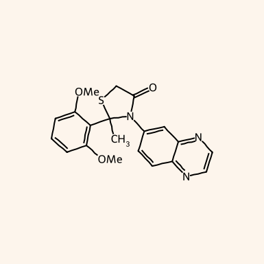 COc1cccc(OC)c1C1(C)SCC(=O)N1c1ccc2nccnc2c1